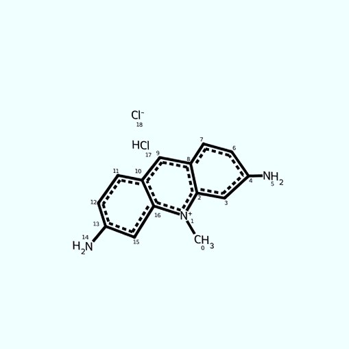 C[n+]1c2cc(N)ccc2cc2ccc(N)cc21.Cl.[Cl-]